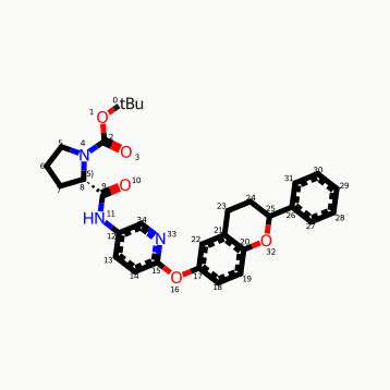 CC(C)(C)OC(=O)N1CCC[C@H]1C(=O)Nc1ccc(Oc2ccc3c(c2)CCC(c2ccccc2)O3)nc1